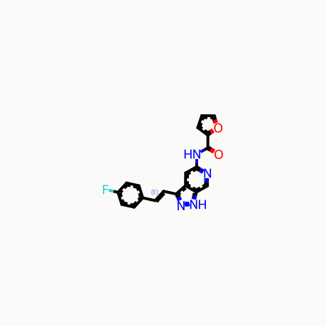 O=C(Nc1cc2c(/C=C/c3ccc(F)cc3)n[nH]c2cn1)c1ccco1